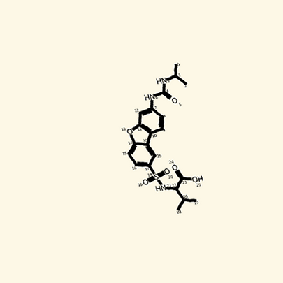 CC(C)NC(=O)Nc1ccc2c(c1)oc1ccc(S(=O)(=O)NC(C(=O)O)C(C)C)cc12